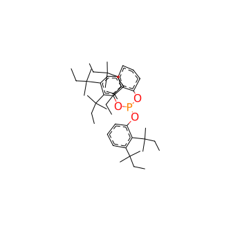 CCC(C)(C)c1cccc(OP(Oc2cccc(C(C)(C)CC)c2C(C)(C)CC)Oc2cccc(C(C)(C)CC)c2C(C)(C)CC)c1C(C)(C)CC